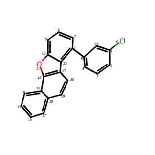 Clc1cccc(-c2cccc3oc4c5ccccc5ccc4c23)c1